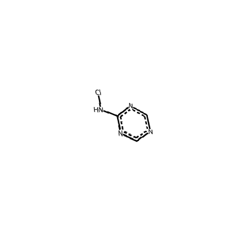 ClNc1ncncn1